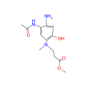 COC(=O)CCN(C)c1cc(NC(C)=O)c(N)cc1O